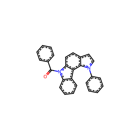 O=C(c1ccccc1)n1c2ccccc2c2c3c(ccc21)ccn3-c1ccccc1